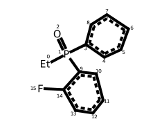 CCP(=O)(c1ccccc1)c1ccccc1F